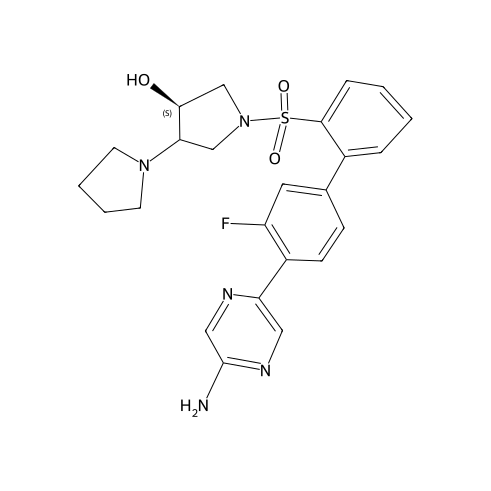 Nc1cnc(-c2ccc(-c3ccccc3S(=O)(=O)N3CC(N4CCCC4)[C@@H](O)C3)cc2F)cn1